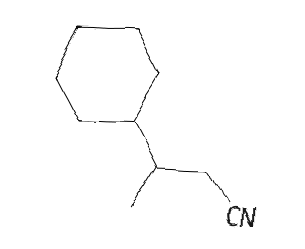 CC(CC#N)C1CCCCC1